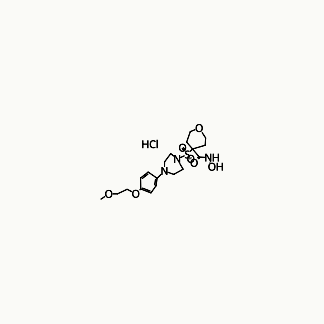 COCCOc1ccc(N2CCN(S(=O)(=O)C3(C(=O)NO)CCOCC3)CC2)cc1.Cl